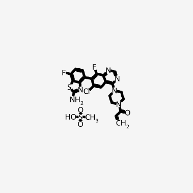 C=CC(=O)N1CCN(c2ncnc3c(F)c(-c4ccc(F)c5sc(N)nc45)c(Cl)cc23)CC1.CS(=O)(=O)O